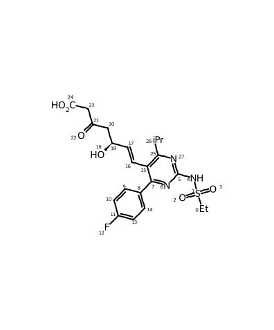 CCS(=O)(=O)Nc1nc(-c2ccc(F)cc2)c(/C=C/[C@@H](O)CC(=O)CC(=O)O)c(C(C)C)n1